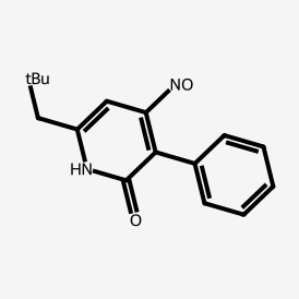 CC(C)(C)Cc1cc(N=O)c(-c2ccccc2)c(=O)[nH]1